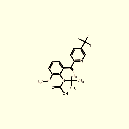 COc1cccc(C(=O)c2ccc(C(F)(F)F)cn2)c1N(C(=O)O)C(C)(C)C